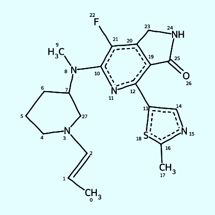 CC=CN1CCCC(N(C)c2nc(-c3cnc(C)s3)c3c(c2F)CNC3=O)C1